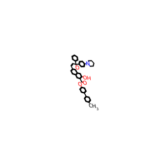 Cc1ccc(-c2ccc(OC(=O)c3cc4ccc5c(c4cc3O)OC(c3ccccc3)(c3ccc(N4CCCCC4)cc3)C=C5)cc2)cc1